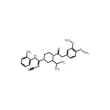 COc1ccc(CC(=O)N2CCN(C(=NC#N)Nc3ccccc3C)CC2C(C)C)cc1OC